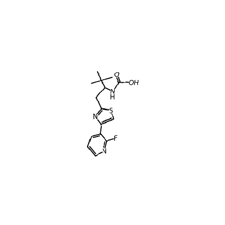 CC(C)(C)C(Cc1nc(-c2cccnc2F)cs1)NC(=O)O